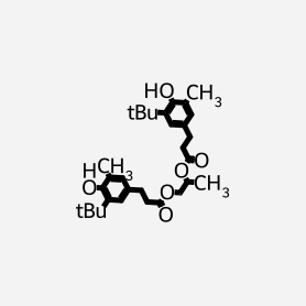 Cc1cc(CCC(=O)OCC(C)OC(=O)CCc2cc(C)c(O)c(C(C)(C)C)c2)cc(C(C)(C)C)c1O